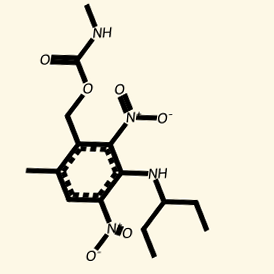 CCC(CC)Nc1c([N+](=O)[O-])cc(C)c(COC(=O)NC)c1[N+](=O)[O-]